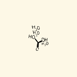 O.O.O.O=C(O)O